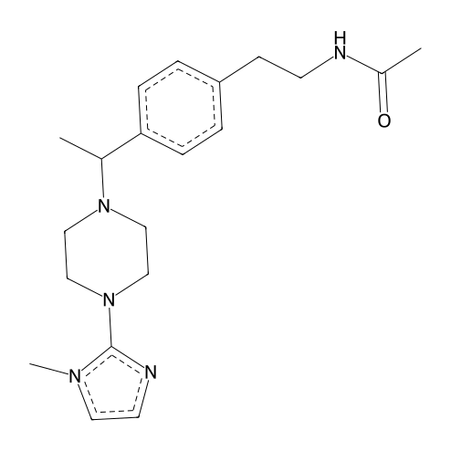 CC(=O)NCCc1ccc(C(C)N2CCN(c3nccn3C)CC2)cc1